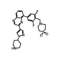 O=S1(=O)CCN(Cc2c(F)cc(-c3cccc4ncc(-c5cnn(C6CCNCC6)c5)nc34)cc2F)CC1